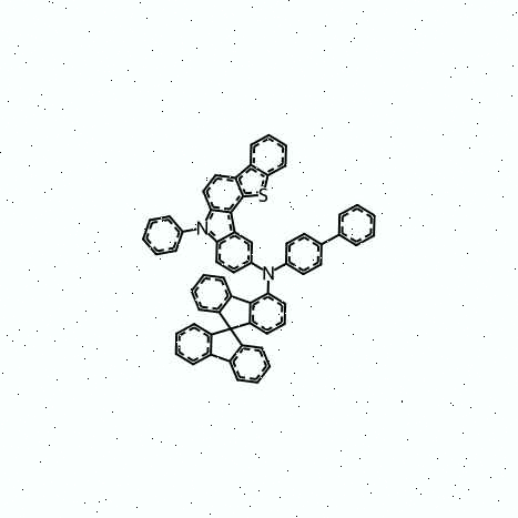 c1ccc(-c2ccc(N(c3ccc4c(c3)c3c5sc6ccccc6c5ccc3n4-c3ccccc3)c3cccc4c3-c3ccccc3C43c4ccccc4-c4ccccc43)cc2)cc1